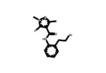 Cc1nn(C)c(F)c1C(=O)Nc1ccccc1CCC(C)C